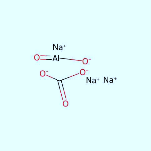 O=C([O-])[O-].[Na+].[Na+].[Na+].[O]=[Al][O-]